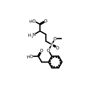 COP(=O)(CCC(N)C(=O)O)Oc1ccccc1CC(=O)O